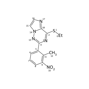 CCSc1nc(-c2cccc([N+](=O)[O-])c2C)nn2ccnc12